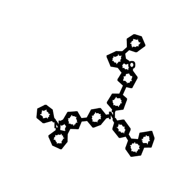 c1ccc(-c2cccc3c2oc2ccc(-c4ccc(N(c5ccc(-c6ccc7c(c6)c6ccccc6n7-c6ccccc6)cc5)c5ccc(-c6cccc7ccccc67)cc5)cc4)cc23)cc1